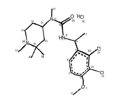 COc1ccc(C(C)NC(=O)N(C)C2CCN(C)C(C)(C)C2)c(Cl)c1Cl.Cl